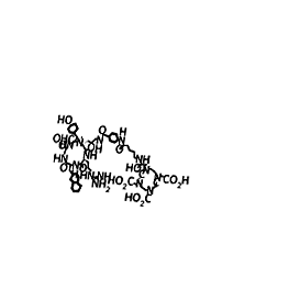 CN1[C@H](CCCNC(=O)c2ccc(NC(=O)CCCCNC(O)CN3CCN(CC(=O)O)CCN(CC(=O)O)CCN(CC(=O)O)CC3)cc2)C(=O)N[C@@H](CCCNC(=N)N)C(=O)NC(Cc2ccc3ccccc3c2)C(=O)NCC(=O)N[C@]1(C=O)Cc1ccc(O)cc1